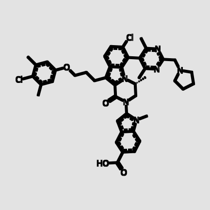 Cc1cc(OCCCc2c3n(c4c(-c5c(C)nc(CN6CCCC6)nc5C)c(Cl)ccc24)[C@H](C)CN(c2cc4cc(C(=O)O)ccc4n2C)C3=O)cc(C)c1Cl